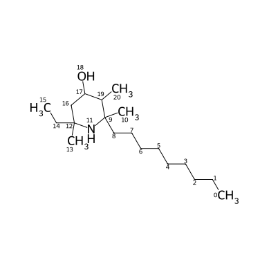 CCCCCCCCCC1(C)NC(C)(CC)CC(O)C1C